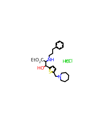 CCOC(=O)C(NCCCc1ccccc1)C(O)c1ccc(CN2CCCCCC2)s1.Cl.Cl